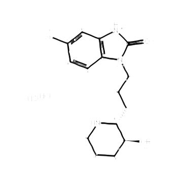 Cl.Cl.O=c1[nH]c2cc(Br)ccc2n1CCC[C@H]1NCCC[C@@H]1O